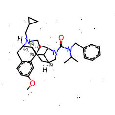 COc1ccc2c(c1)[C@]13CCN(CC4CC4)[C@H](C2)[C@]12CCC1C3[C@@H](CN1C(=O)N(Cc1ccccc1)C(C)C)C2